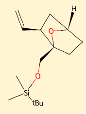 C=C[C@H]1C[C@@H]2CC[C@@]1(CO[Si](C)(C)C(C)(C)C)O2